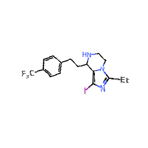 CCc1nc(I)c2n1CCNC2CCc1ccc(C(F)(F)F)cc1